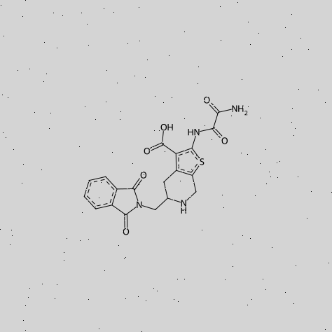 NC(=O)C(=O)Nc1sc2c(c1C(=O)O)CC(CN1C(=O)c3ccccc3C1=O)NC2